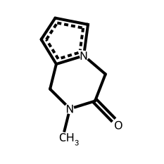 CN1Cc2cccn2CC1=O